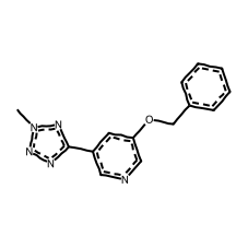 Cn1nnc(-c2cncc(OCc3ccccc3)c2)n1